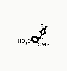 COc1cc(C(=O)O)ccc1OC1CC(F)(F)C1